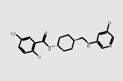 O=C(N[C@H]1CC[C@H](CNc2cncc(Cl)c2)CC1)c1cc(C(F)(F)F)ccc1Cl